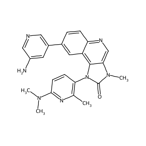 Cc1nc(N(C)C)ccc1-n1c(=O)n(C)c2cnc3ccc(-c4cncc(N)c4)cc3c21